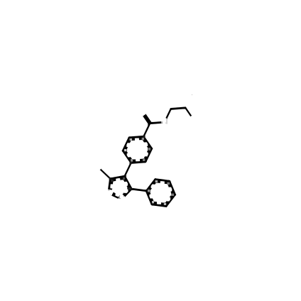 Cc1onc(-c2ccccc2)c1-c1ccc(C(=O)NC[C@H](C)O)cc1